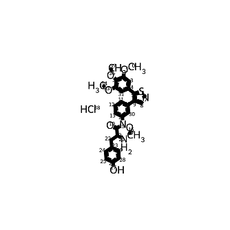 COc1cc(-c2sncc2-c2cccc(N(OC)C(=O)C(N)Cc3ccc(O)cc3)c2)cc(OC)c1OC.Cl